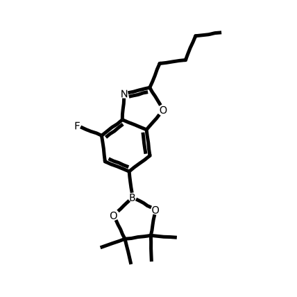 CCCCc1nc2c(F)cc(B3OC(C)(C)C(C)(C)O3)cc2o1